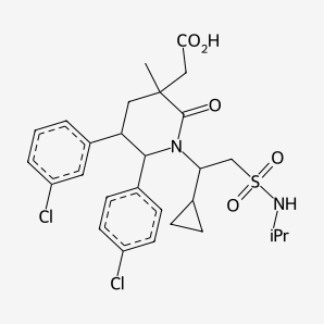 CC(C)NS(=O)(=O)CC(C1CC1)N1C(=O)C(C)(CC(=O)O)CC(c2cccc(Cl)c2)C1c1ccc(Cl)cc1